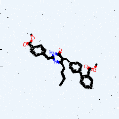 CCCCc1nc(Cc2ccc(C(=O)OC)cc2)[nH]c(=O)c1Cc1ccc(-c2ccccc2C(=O)OC)cc1